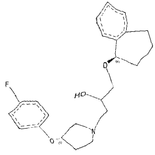 OC(CO[C@@H]1CCCc2ccccc21)CN1CC[C@H](Oc2ccc(F)cc2)C1